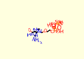 Nc1nc2c(ncn2COCCOP(=O)(O)OP(=O)(O)O)c(=O)[nH]1